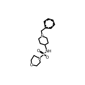 O=S(=O)(NC1CCN(Cc2ccccc2)CC1)N1CCOCC1